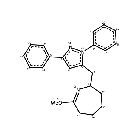 COC1=NC(Cc2cc(-c3ccccc3)nn2-c2ccccc2)CCCC1